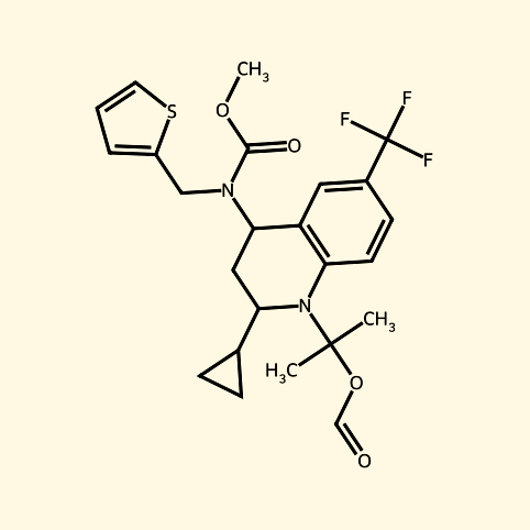 COC(=O)N(Cc1cccs1)C1CC(C2CC2)N(C(C)(C)OC=O)c2ccc(C(F)(F)F)cc21